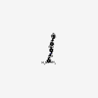 Nc1cc(N)cc(CCOC(=O)/C=C/c2ccc(C(=O)Oc3ccc(OCCCC(F)(F)C(F)(F)F)cc3)cc2)c1